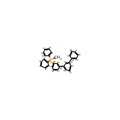 C[PH](c1ccccc1)(c1ccccc1)c1cccc(-c2cccc(-c3ccccc3)c2)c1